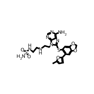 Cc1ccc(-c2cc3c(cc2Sc2nc4c(N)ncnc4n2CCNCCNS(N)(=O)=O)OCO3)o1